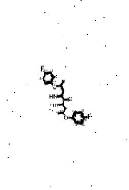 CC(CC(=N)C(=O)C(=N)CC(C)Oc1ccc(F)cc1)Oc1ccc(F)cc1